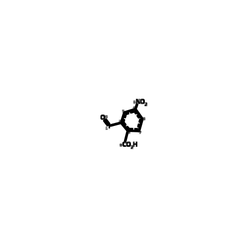 O=Ic1cc([N+](=O)[O-])ccc1C(=O)O